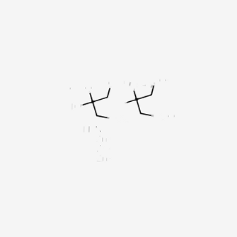 N.O=C([O-])CC(O)(CC(=O)[O-])C(=O)[O-].O=C([O-])CC(O)(CC(=O)[O-])C(=O)[O-].[Zn+2].[Zn+2].[Zn+2]